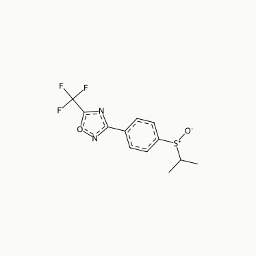 CC(C)[S+]([O-])c1ccc(-c2noc(C(F)(F)F)n2)cc1